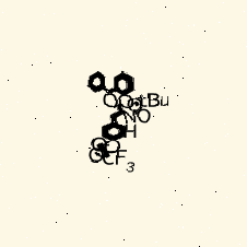 CC(C)(C)OC(=O)NC(Cc1ccc(OS(=O)(=O)C(F)(F)F)cc1)C(=O)OC(c1ccccc1)c1ccccc1